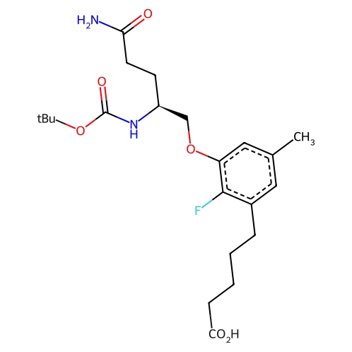 Cc1cc(CCCCC(=O)O)c(F)c(OC[C@H](CCC(N)=O)NC(=O)OC(C)(C)C)c1